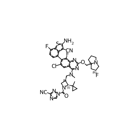 CN(C[C@@H]1CN(C(=O)n2cnc(C#N)n2)[C@@H]1C1(C)CC1)c1nc(OC[C@@]23CCCN2C[C@H](F)C3)nc2c(F)c(-c3ccc(F)c4sc(N)c(C#N)c34)c(Cl)cc12